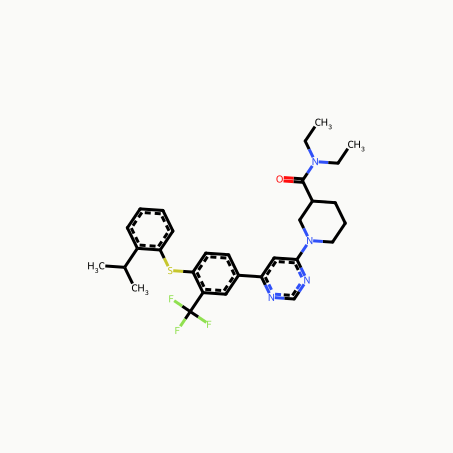 CCN(CC)C(=O)C1CCCN(c2cc(-c3ccc(Sc4ccccc4C(C)C)c(C(F)(F)F)c3)ncn2)C1